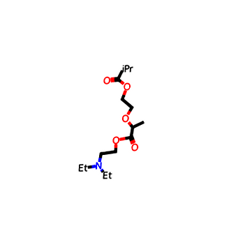 CCN(CC)CCOC(=O)C(C)OCCOC(=O)C(C)C